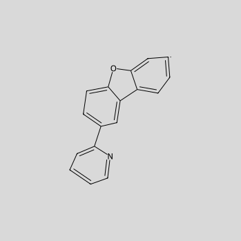 [c]1ccc2c(c1)oc1ccc(-c3ccccn3)cc12